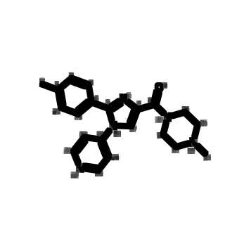 Cc1ccc(-c2nc(C(=O)N3CCN(C)CC3)cn2-c2ccncc2)cc1